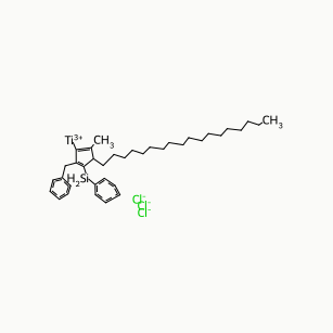 CCCCCCCCCCCCCCCCCCC1C(C)=[C]([Ti+3])C(Cc2ccccc2)=C1[SiH2]c1ccccc1.[Cl-].[Cl-].[Cl-]